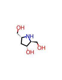 OC[C@H]1C[C@@H](O)[C@H](CO)N1